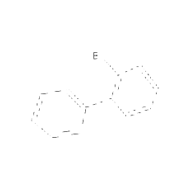 Brc1ccc[c]c1-c1ccccc1